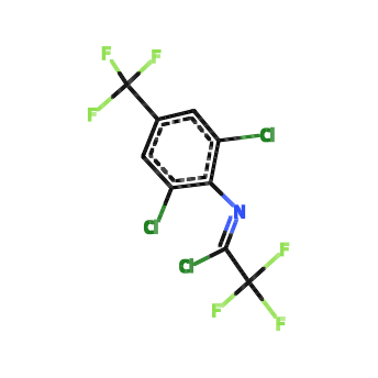 FC(F)(F)C(Cl)=Nc1c(Cl)cc(C(F)(F)F)cc1Cl